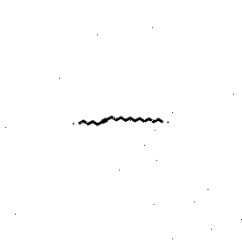 [CH2]CCCCC#CCCCCCCCCCCC[CH2]